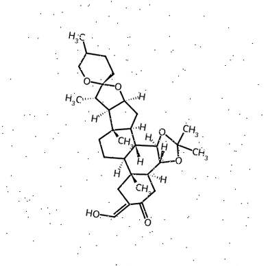 CC1CC[C@@]2(OC1)O[C@H]1C[C@H]3[C@@H]4[C@H]5OC(C)(C)O[C@@H]5[C@H]5CC(=O)C(=CO)C[C@]5(C)[C@H]4CC[C@]3(C)[C@H]1[C@@H]2C